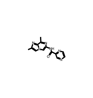 Cc1cn2cc(NC(=O)c3cnccn3)nc(C)c2n1